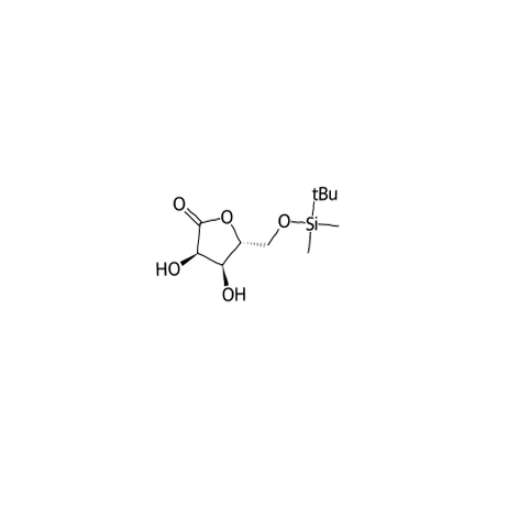 CC(C)(C)[Si](C)(C)OC[C@H]1OC(=O)[C@H](O)[C@@H]1O